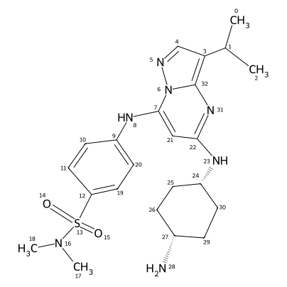 CC(C)c1cnn2c(Nc3ccc(S(=O)(=O)N(C)C)cc3)cc(N[C@H]3CC[C@@H](N)CC3)nc12